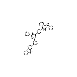 CC1(C)c2ccccc2-c2ccc(-c3cccc(-c4cc(-c5ccc(-c6nc7c8ccccc8oc7c7ccccc67)cc5)nc(-c5ccccc5)n4)c3)cc21